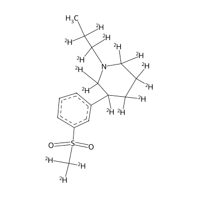 [2H]C([2H])(C)C([2H])([2H])N1C([2H])([2H])C([2H])([2H])C([2H])([2H])C([2H])(c2cccc(S(=O)(=O)C([2H])([2H])[2H])c2)C1([2H])[2H]